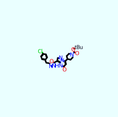 CC(C)(C)OC(=O)N1CCC(c2cc(=O)[nH]c3c(-c4nnc(Cc5ccc(Cl)cc5)o4)cnn23)CC1